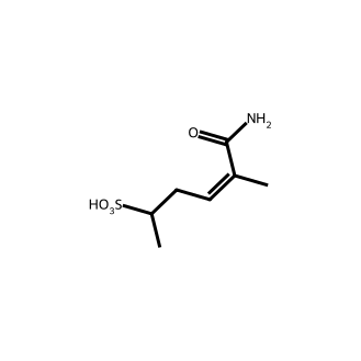 CC(=CCC(C)S(=O)(=O)O)C(N)=O